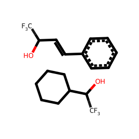 OC(C1CCCCC1)C(F)(F)F.OC(C=Cc1ccccc1)C(F)(F)F